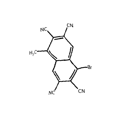 Cc1c(C#N)c(C#N)cc2c(Br)c(C#N)c(C#N)cc12